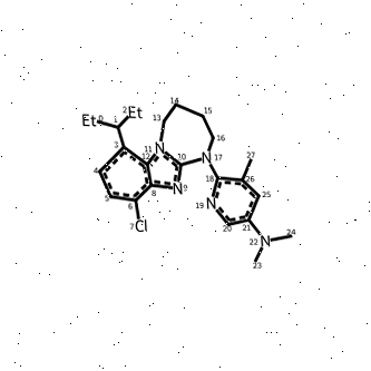 CCC(CC)c1ccc(Cl)c2nc3n(c12)CCCCN3c1ncc(N(C)C)cc1C